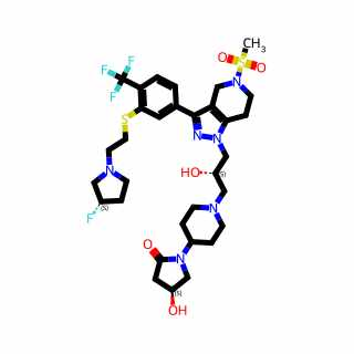 CS(=O)(=O)N1CCc2c(c(-c3ccc(C(F)(F)F)c(SCCN4CC[C@H](F)C4)c3)nn2C[C@@H](O)CN2CCC(N3C[C@@H](O)CC3=O)CC2)C1